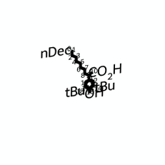 CCCCCCCCCCCCCCCCCCC(C(=O)O)c1cc(C(C)(C)C)c(O)c(C(C)(C)C)c1